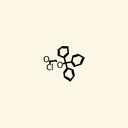 O=C(Cl)COC(c1ccccc1)(c1ccccc1)c1ccccc1